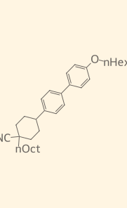 CCCCCCCCC1(C#N)CCC(c2ccc(-c3ccc(OCCCCCC)cc3)cc2)CC1